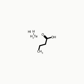 CCCC(=O)O.I.I.[TeH2]